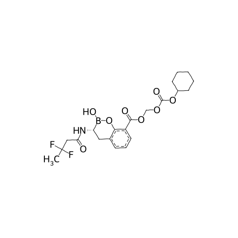 CC(F)(F)CC(=O)N[C@H]1Cc2cccc(C(=O)OCOC(=O)OC3CCCCC3)c2OB1O